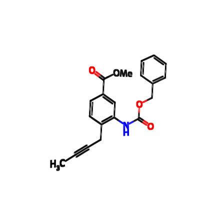 CC#CCc1ccc(C(=O)OC)cc1NC(=O)OCc1ccccc1